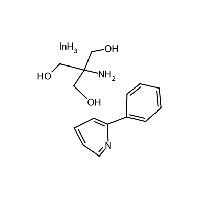 NC(CO)(CO)CO.[InH3].c1ccc(-c2ccccn2)cc1